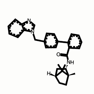 CC1(C)[C@@H]2CC[C@@]1(C)[C@@H](NC(=O)c1ccccc1-c1ccc(Cn3cnc4ccccc43)cc1)C2